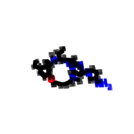 C=C1c2cc(CC)ccc2OCCCCN(C)c2cc(N3CCC(N)C3)nc3cc(nn23)C(CC)N1C